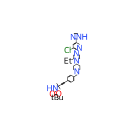 CC[C@H]1CN(c2ncc(-c3ncc[nH]3)cc2Cl)CCN1C1CCN(Cc2ccc(C#CC(C)(C)NC(=O)OC(C)(C)C)cc2)CC1